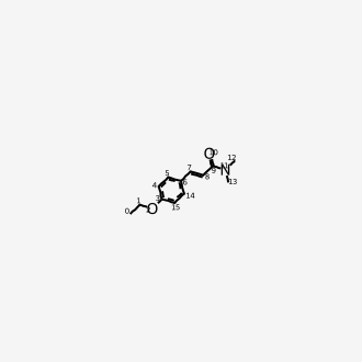 CCOc1ccc(C=CC(=O)N(C)C)cc1